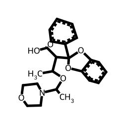 CC(OC(C)N1CCOCC1)C(C(=O)O)C1(c2ccccc2)Oc2ccccc2O1